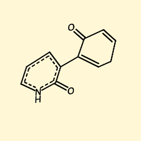 O=C1C=CCC=C1c1ccc[nH]c1=O